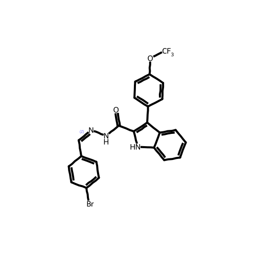 O=C(N/N=C\c1ccc(Br)cc1)c1[nH]c2ccccc2c1-c1ccc(OC(F)(F)F)cc1